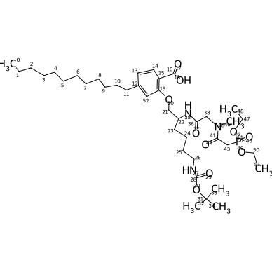 CCCCCCCCCCCCc1ccc(C(=O)O)c(OCC(CCCCNC(=O)OC(C)(C)C)NC(=O)CN(C)C(=O)CP(=O)(OCC)OCC)c1